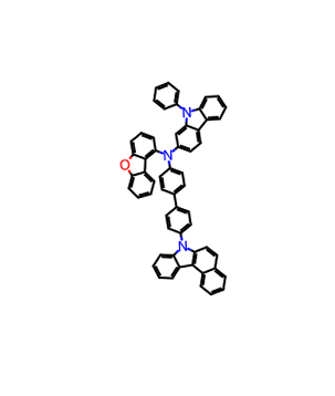 c1ccc(-n2c3ccccc3c3ccc(N(c4ccc(-c5ccc(-n6c7ccccc7c7c8ccccc8ccc76)cc5)cc4)c4cccc5oc6ccccc6c45)cc32)cc1